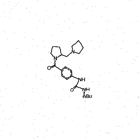 CCCCNC(=O)Nc1ccc(C(=O)N2CCCC2CN2CCCC2)cc1